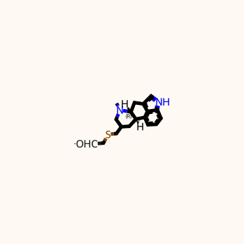 CN1CC(CSC[C]=O)C[C@@H]2c3cccc4[nH]cc(c34)C[C@H]21